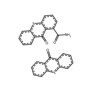 NC(=O)c1cccc2sc3ccccc3c(=O)c12.O=c1c2ccccc2sc2ccccc12